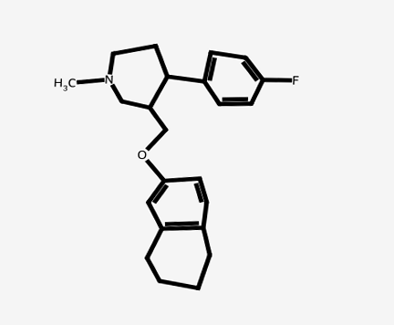 CN1CCC(c2ccc(F)cc2)C(COc2ccc3c(c2)CCCC3)C1